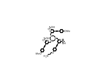 COc1ccc(C#Cc2cc(CN3CCN(Cc4cc(C#Cc5ccc(OC)cc5)cc(P(C)(=O)O)n4)CCN(Cc4cc(C#Cc5ccc(OCCCN)cc5)cc(P(C)(=O)O)n4)CC3)nc(P(C)(=O)O)c2)cc1